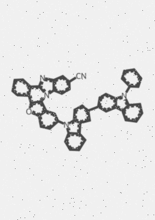 N#Cc1ccc2c(c1)nc1c3ccccc3c3oc4ccc(-n5c6ccccc6c6cc(-c7ccc8c(c7)c7ccccc7n8-c7ccccc7)ccc65)cc4c3n21